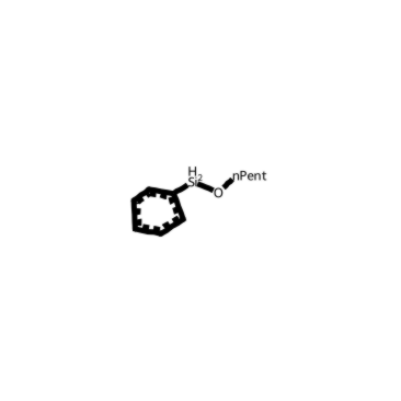 CCCCCO[SiH2]c1ccccc1